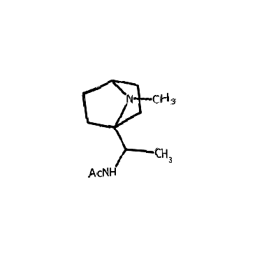 CC(=O)NC(C)C12CCC(CC1)N2C